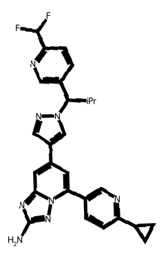 CC(C)C(c1ccc(C(F)F)nc1)n1cc(-c2cc(-c3ccc(C4CC4)nc3)n3nc(N)nc3c2)cn1